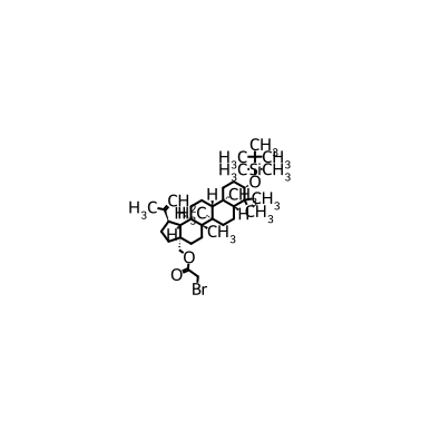 C=C(C)[C@@H]1CC[C@]2(COC(=O)CBr)CC[C@]3(C)[C@H](CC[C@@H]4[C@@]5(C)CC[C@H](O[Si](C)(C)C(C)(C)C)C(C)(C)[C@@H]5CC[C@]43C)[C@@H]12